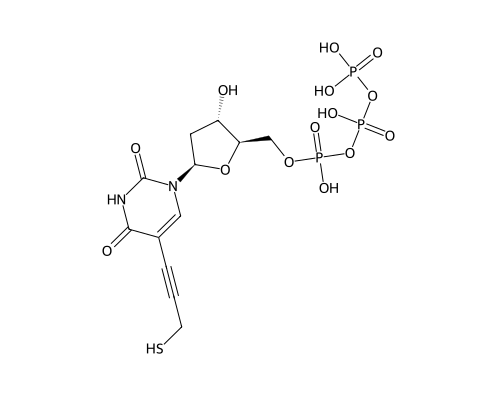 O=c1[nH]c(=O)n([C@H]2C[C@H](O)[C@@H](COP(=O)(O)OP(=O)(O)OP(=O)(O)O)O2)cc1C#CCS